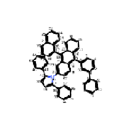 c1ccc(-c2cccc(-c3c4ccccc4c(-c4cccc5ccccc45)c4cc(-n5c(-c6ccccc6)ccc5-c5ccccc5)ccc34)c2)cc1